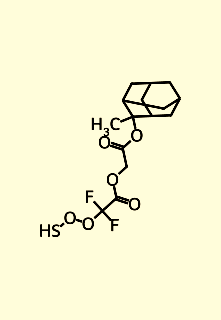 CC1(OC(=O)COC(=O)C(F)(F)OOS)C2CC3CC(C2)CC1C3